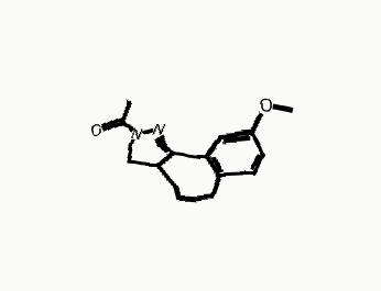 COc1ccc2c(c1)C1=NN(C(C)=O)CC1CC2